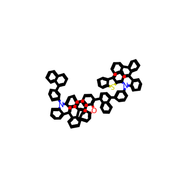 c1cc(-c2cccc3ccccc23)cc(N(c2ccc(-c3ccc(-c4ccc(-c5cccc(N(c6ccccc6-c6cc7ccccc7c7ccccc67)c6cccc7c6sc6ccccc67)c5)c5ccccc45)c4oc5ccccc5c34)cc2)c2ccccc2-c2cc3ccccc3c3ccccc23)c1